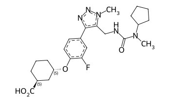 CN(C(=O)NCc1c(-c2ccc(O[C@H]3CCC[C@H](C(=O)O)C3)c(F)c2)nnn1C)C1CCCC1